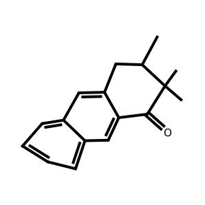 CC1Cc2cc3ccccc3cc2C(=O)C1(C)C